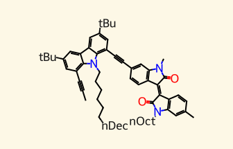 CC#Cc1cc(C(C)(C)C)cc2c3cc(C(C)(C)C)cc(C#Cc4ccc5c(c4)N(C)C(=O)/C5=C4/C(=O)N(CCCCCCCC)c5cc(C)ccc54)c3n(CCCCCCCCCCCCCCCC)c12